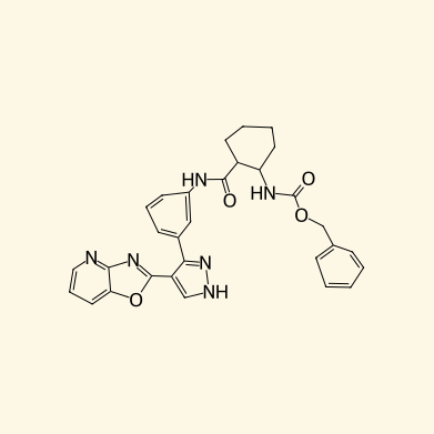 O=C(NC1CCCCC1C(=O)Nc1cccc(-c2n[nH]cc2-c2nc3ncccc3o2)c1)OCc1ccccc1